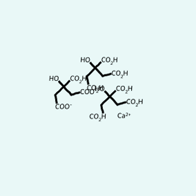 O=C(O)CC(O)(CC(=O)O)C(=O)O.O=C(O)CC(O)(CC(=O)O)C(=O)O.O=C([O-])CC(O)(CC(=O)[O-])C(=O)O.[Ca+2]